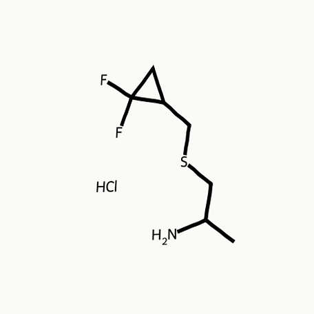 CC(N)CSCC1CC1(F)F.Cl